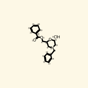 Cl.O=C(OCC1CN(Cc2ccccc2)CCO1)c1ccccc1